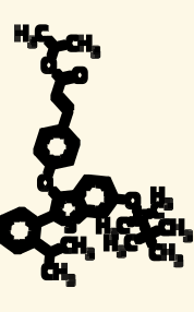 CC(C)OC(=O)C=Cc1ccc(Oc2c(-c3ccccc3C(C)C)sc3cc(O[Si](C)(C)C(C)(C)C)ccc23)cc1